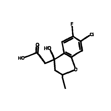 CC1CC(O)(CC(=O)O)c2cc(F)c(Cl)cc2O1